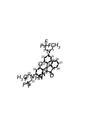 CCN(CC(F)(F)F)c1ccc2c(c1)Oc1cc(N(CC)CC(F)(F)F)ccc1C21C(=[N+]=N)C(=O)c2ccccc21